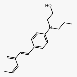 C=C(/C=C\C)/C=C/c1ccc(N(CCC)CCO)cc1